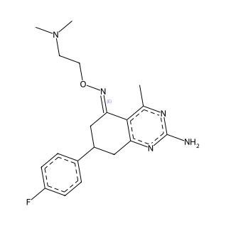 Cc1nc(N)nc2c1/C(=N/OCCN(C)C)CC(c1ccc(F)cc1)C2